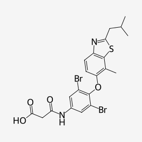 Cc1c(Oc2c(Br)cc(NC(=O)CC(=O)O)cc2Br)ccc2nc(CC(C)C)sc12